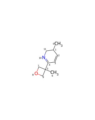 CC1C=CC(C2(C)COC2)=NC1